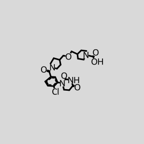 O=C1CCN(c2cc(C(=O)N3CCC(COCC4CCN(C(=O)O)CC4)CC3)ccc2Cl)C(=O)N1